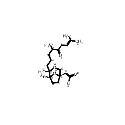 CC(C)=CCC(=O)C(C)CCC[C@]1(C)OC[C@]2(CC(=O)Cl)CC[C@H]1O2